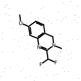 COc1ccc2c(c1)N=C(C(F)F)N(C)C2